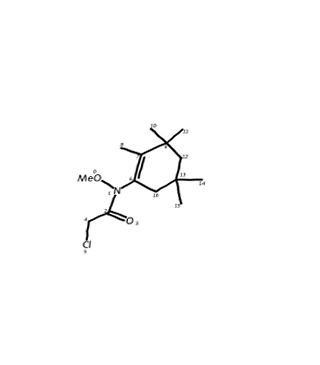 CON(C(=O)CCl)C1=C(C)C(C)(C)CC(C)(C)C1